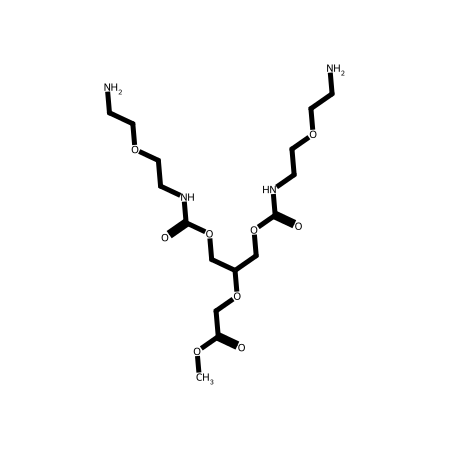 COC(=O)COC(COC(=O)NCCOCCN)COC(=O)NCCOCCN